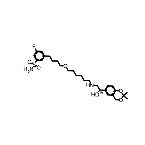 CC1(C)OCc2cc([C@@H](O)CNCCCCCCOCCCCc3cc(F)cc(S(N)(=O)=O)c3)ccc2O1